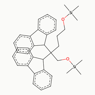 C[Si](C)(C)OCCCC(CO[Si](C)(C)C)(C1c2ccccc2-c2ccccc21)C1c2ccccc2-c2ccccc21